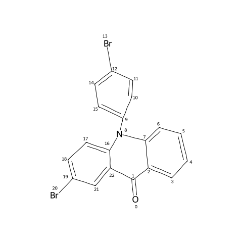 O=c1c2ccccc2n(-c2ccc(Br)cc2)c2ccc(Br)cc12